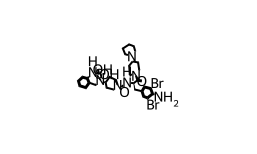 Nc1c(Br)cc(C[C@@H](NC(=O)N2CCC(N3Cc4ccccc4NS3(O)O)CC2)C(=O)N2CCC(N3CCCCC3)CC2)cc1Br